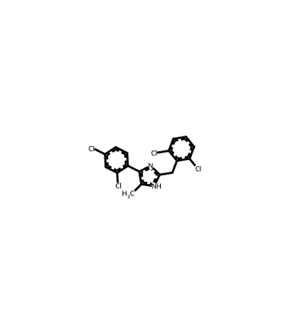 Cc1[nH]c(Cc2c(Cl)cccc2Cl)nc1-c1ccc(Cl)cc1Cl